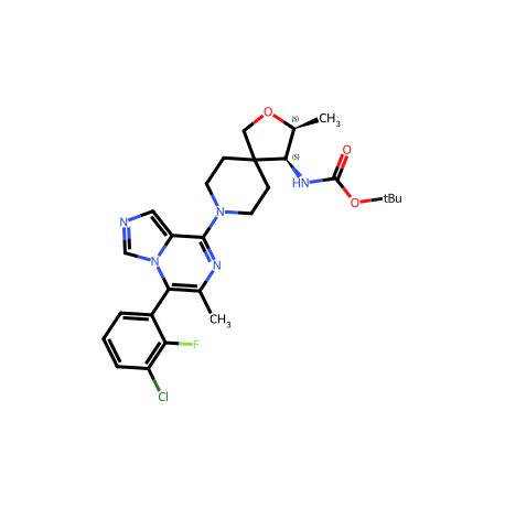 Cc1nc(N2CCC3(CC2)CO[C@@H](C)[C@H]3NC(=O)OC(C)(C)C)c2cncn2c1-c1cccc(Cl)c1F